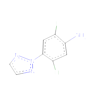 Nc1cc(Cl)c(-n2nccn2)cc1F